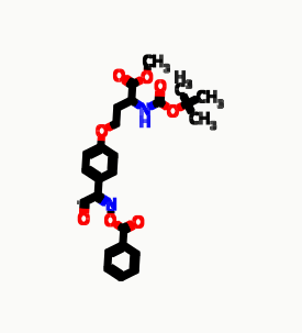 COC(=O)C(CCOc1ccc(C([C]=O)=NOC(=O)c2ccccc2)cc1)NC(=O)OC(C)(C)C